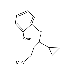 CNCCC(Oc1ccccc1SC)C1CC1